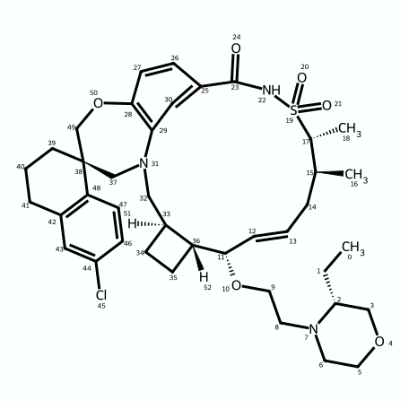 CC[C@@H]1COCCN1CCO[C@H]1/C=C/C[C@H](C)[C@@H](C)S(=O)(=O)NC(=O)c2ccc3c(c2)N(C[C@@H]2CC[C@H]21)C[C@@]1(CCCc2cc(Cl)ccc21)CO3